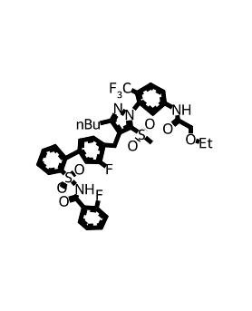 CCCCc1nn(-c2cc(NC(=O)COCC)ccc2C(F)(F)F)c(S(C)(=O)=O)c1Cc1ccc(-c2ccccc2S(=O)(=O)NC(=O)c2ccccc2F)cc1F